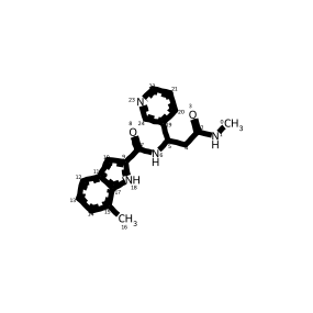 CNC(=O)CC(NC(=O)c1cc2cccc(C)c2[nH]1)c1cccnc1